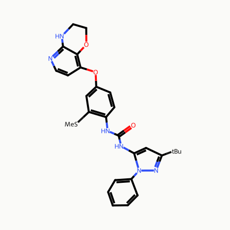 CSc1cc(Oc2ccnc3c2OCCN3)ccc1NC(=O)Nc1cc(C(C)(C)C)nn1-c1ccccc1